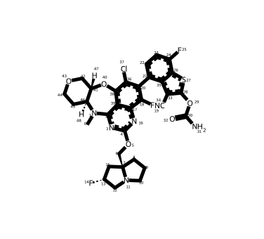 CN1c2nc(OC[C@@]34CCCN3C[C@H](F)C4)nc3c(F)c(-c4ccc(F)c5sc(OC(N)=O)c(C#N)c45)c(Cl)c(c23)O[C@H]2COCC[C@@H]21